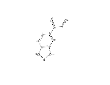 C=CC(=O)c1ccc2c(c1)SCO2